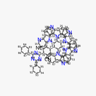 N#Cc1cc(-c2c(-n3c4ccccc4c4ncccc43)c(-n3c4ccccc4c4ncccc43)c(-n3c4ccccc4c4ncccc43)c(-n3c4ccccc4c4ncccc43)c2-n2c3ccccc3c3ncccc32)cc(C#N)c1-c1nc(-c2ccccc2)nc(-c2ccccc2)n1